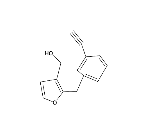 C#Cc1cccc(Cc2occc2CO)c1